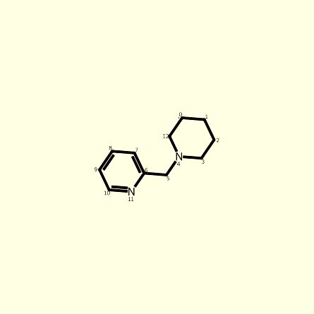 [CH]1CCCN(Cc2ccccn2)C1